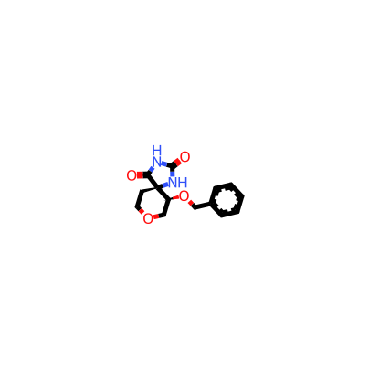 O=C1NC(=O)[C@]2(CCOC[C@@H]2OCc2ccccc2)N1